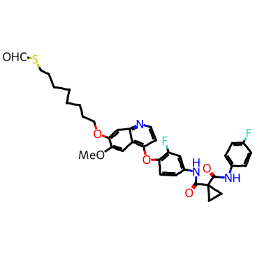 COc1cc2c(Oc3ccc(NC(=O)C4(C(=O)Nc5ccc(F)cc5)CC4)cc3F)ccnc2cc1OCCCCCCCCSC=O